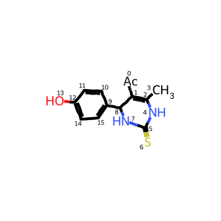 CC(=O)C1=C(C)NC(=S)NC1c1ccc(O)cc1